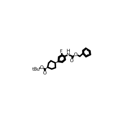 CC(C)(C)OC(=O)[C@H]1CC[C@@H](c2ccc(NC(=O)OCc3ccccc3)c(F)c2)CC1